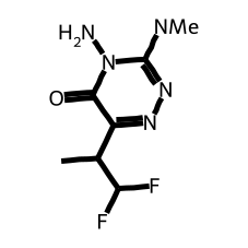 CNc1nnc(C(C)C(F)F)c(=O)n1N